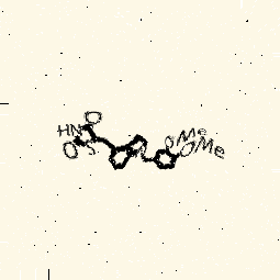 COc1ccc(Cn2ccc3c(CC4SC(=O)NC4=O)cccc32)cc1OC